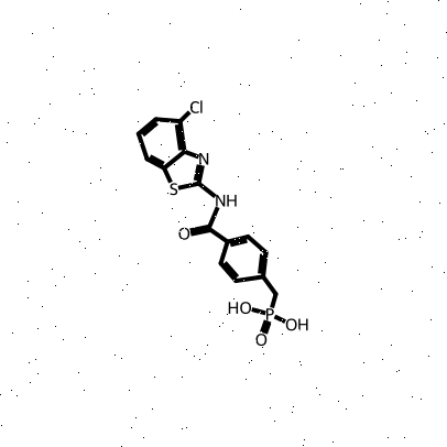 O=C(Nc1nc2c(Cl)cccc2s1)c1ccc(CP(=O)(O)O)cc1